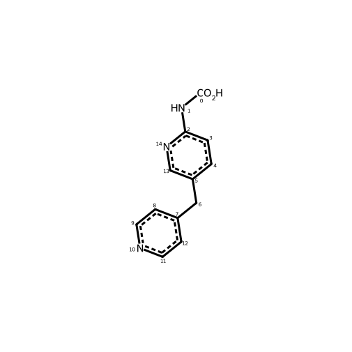 O=C(O)Nc1ccc(Cc2ccncc2)cn1